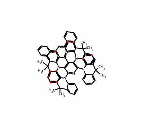 CC1(C)c2ccccc2N(c2nc(N3c4ccccc4C(C)(C)c4ccccc43)c(N3c4ccccc4C(C)(C)c4ccccc43)c(-c3nc(-c4ccccc4)cc(-c4ccccc4)n3)c2N2c3ccccc3C(C)(C)c3ccccc32)c2ccccc21